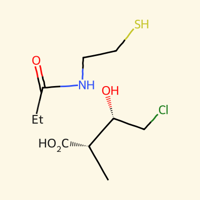 CCC(=O)NCCS.C[C@H](C(=O)O)[C@H](O)CCl